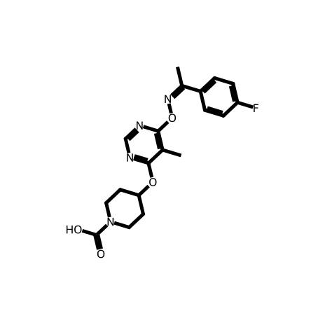 C/C(=N/Oc1ncnc(OC2CCN(C(=O)O)CC2)c1C)c1ccc(F)cc1